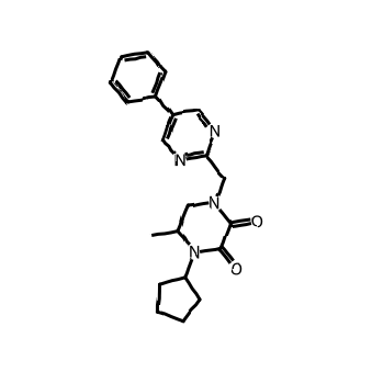 CC1CN(Cc2ncc(-c3ccccc3)cn2)C(=O)C(=O)N1C1CCCC1